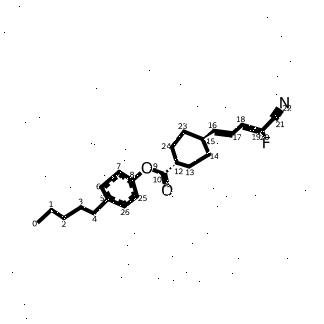 CCCCCc1ccc(OC(=O)[C@H]2CC[C@H](C=CC=C(F)C#N)CC2)cc1